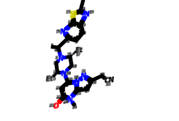 CC[C@H]1CN(C(C)c2ccc3nc(C)sc3n2)[C@H](CC)CN1c1cc(=O)n(C)c2cc(CC#N)nn12